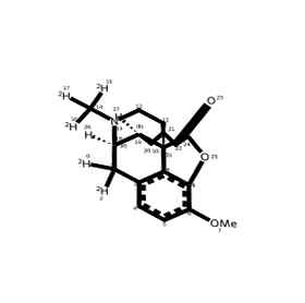 [2H]C1([2H])c2ccc(OC)c3c2[C@]24CCN(C([2H])([2H])[2H])[C@H]1[C@@H]2CCC(=O)C4O3